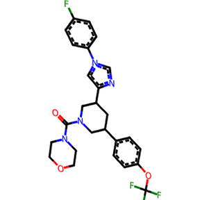 O=C(N1CCOCC1)N1CC(c2ccc(OC(F)(F)F)cc2)CC(c2cn(-c3ccc(F)cc3)cn2)C1